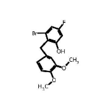 COc1ccc(Cc2c(O)cc(F)cc2Br)cc1OC